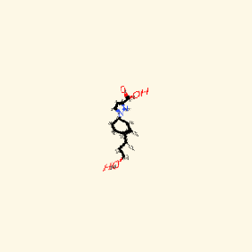 O=C(O)c1ccn(C2CCC(CCCO)CC2)n1